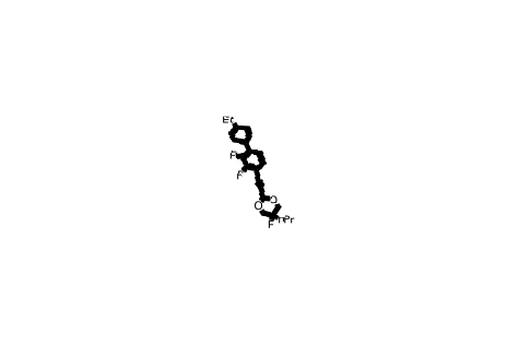 CCCC1(F)COC(C#Cc2ccc(-c3ccc(CC)cc3)c(F)c2F)OC1